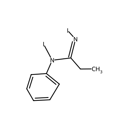 CC/C(=N/I)N(I)c1ccccc1